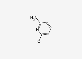 Nc1cccc([O])n1